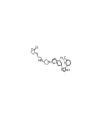 Cc1cccc(-c2[nH]cnc2-c2ccc3ncc(N4CCC(NCCSC5CCOC5=O)C4)cc3c2)n1